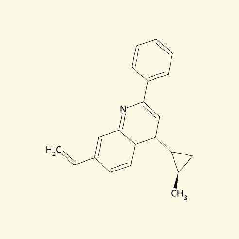 C=CC1=CC2=NC(c3ccccc3)=C[C@H](C3C[C@H]3C)C2C=C1